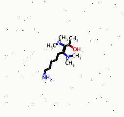 CC(O)C(=C(CCCCCN)N(C)C)N(C)C